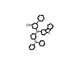 Clc1cc(-c2ccccc2)cc(N(c2cccc(N(c3ccccc3)c3ccccc3)c2)c2ccc3sc4ccccc4c3c2)c1